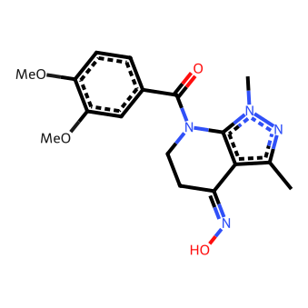 COc1ccc(C(=O)N2CC/C(=N\O)c3c(C)nn(C)c32)cc1OC